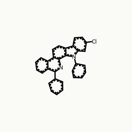 Clc1ccc2c3ccc4c5ccccc5c(-c5ccccc5)nc4c3n(-c3ccccc3)c2c1